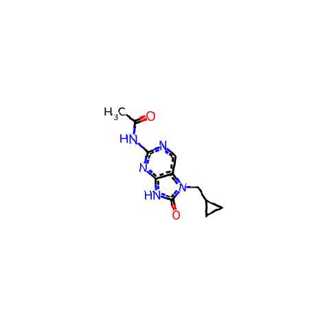 CC(=O)Nc1ncc2c(n1)[nH]c(=O)n2CC1CC1